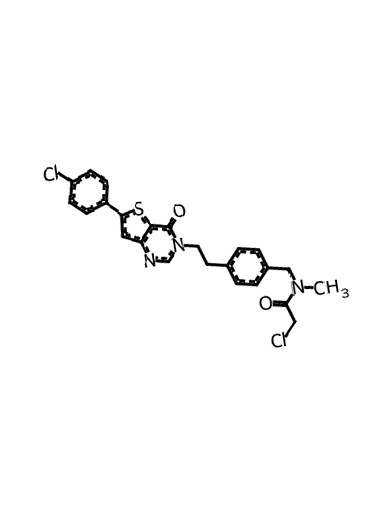 CN(Cc1ccc(CCn2cnc3cc(-c4ccc(Cl)cc4)sc3c2=O)cc1)C(=O)CCl